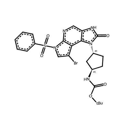 CC(C)(C)OC(=O)N[C@@H]1CC[C@@H](n2c(=O)[nH]c3cnc4c(c(Br)cn4S(=O)(=O)c4ccccc4)c32)C1